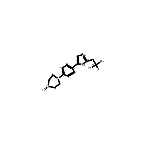 [O-][S+]1CCN(c2ccc(-c3cnc(CC(F)(F)F)s3)cc2)CC1